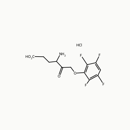 Cl.NC(CCC(=O)O)C(=O)COc1c(F)c(F)cc(F)c1F